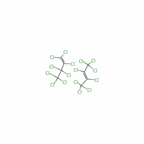 Cl/C(=C(/Cl)C(Cl)(Cl)Cl)C(Cl)(Cl)Cl.ClC(Cl)=C(Cl)C(Cl)(Cl)C(Cl)(Cl)Cl